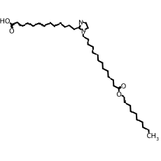 CCCCCCCCCCOC(=O)CCCCCCCCCCCCCN1CCN=C1CCCCCCCCCCCCC(=O)O